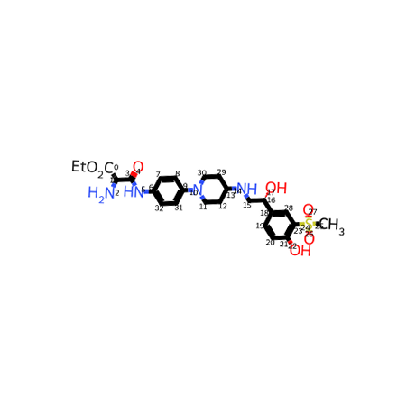 CCOC(=O)C(N)C(=O)Nc1ccc(N2CCC(NC[C@H](O)c3ccc(O)c(S(C)(=O)=O)c3)CC2)cc1